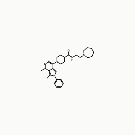 Cc1nnc(N2CCC(C(=O)NCCN3CCCCCC3)CC2)c2nn(-c3ccccc3)c(C)c12